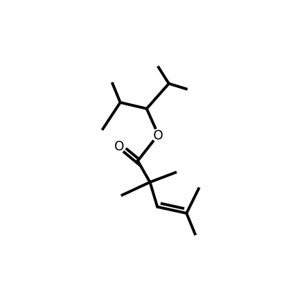 CC(C)=CC(C)(C)C(=O)OC(C(C)C)C(C)C